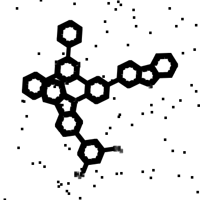 Cc1cc(C)cc(-c2ccc3c4ccccc4n(-c4ccc(-c5ccc6c(c5)sc5ccccc56)cc4-c4nc(-c5ccccc5)nc(-c5ccccc5)n4)c3c2)c1